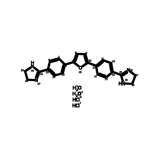 Cl.Cl.O.O.c1cc(-c2ccc(-c3ccc(C4=NCCN4)cc3)o2)ccc1C1=NCCN1